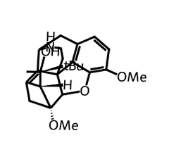 COc1ccc2c3c1OC1C34CCNC(C2)C4=C2C[C@@]1(OC)[C@H]2[C@](C)(O)C(C)(C)C